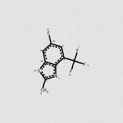 Cc1nc2c(C(F)(F)F)cc(F)cc2s1